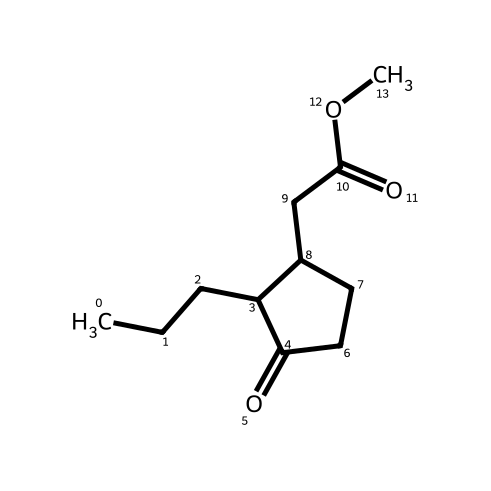 CCCC1C(=O)CCC1CC(=O)OC